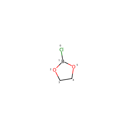 ClB1OCCO1